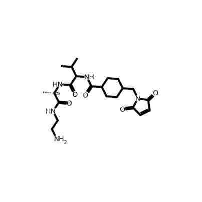 CC(C)C(NC(=O)C1CCC(CN2C(=O)C=CC2=O)CC1)C(=O)N[C@@H](C)C(=O)NCCN